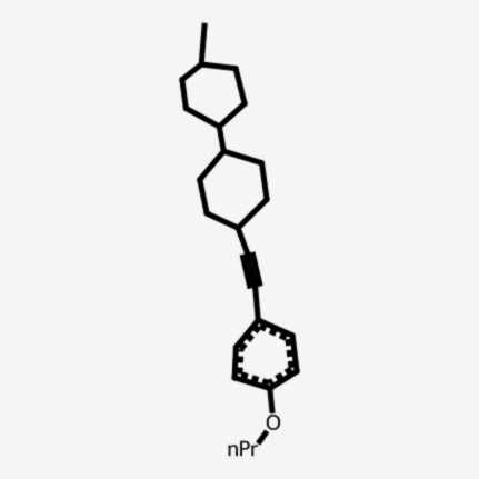 CCCOc1ccc(C#CC2CCC(C3CCC(C)CC3)CC2)cc1